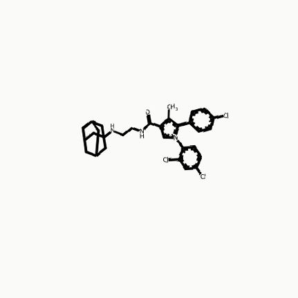 Cc1c(C(=O)NCCNC23CC4CC(CC(C4)C2)C3)cn(-c2ccc(Cl)cc2Cl)c1-c1ccc(Cl)cc1